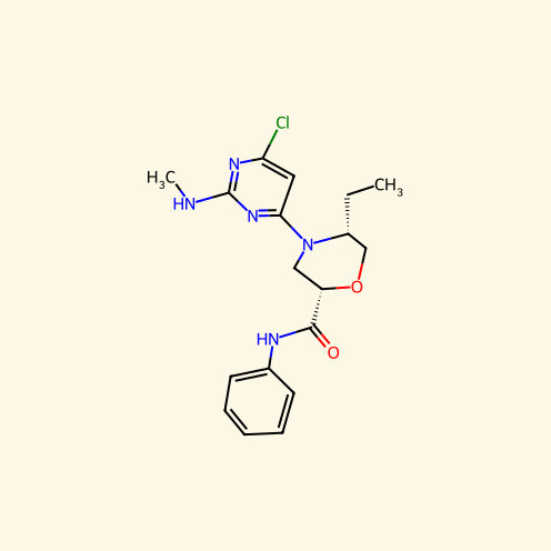 CC[C@@H]1CO[C@H](C(=O)Nc2ccccc2)CN1c1cc(Cl)nc(NC)n1